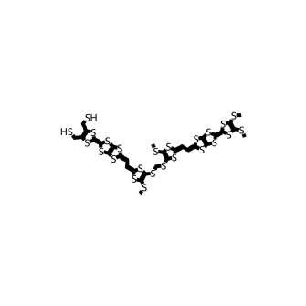 CSC1=C(SCSC2=C(SC)SC(=CC=C3SC4=C(S3)SC(=C3SC(SC)=C(SC)S3)S4)S2)SC(=CC=C2SC3=C(S2)SC(=C2SC(CS)=C(CS)S2)S3)S1